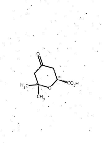 CC1(C)CC(=O)C[C@@H](C(=O)O)O1